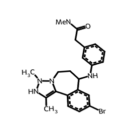 CNC(=O)Cc1cccc(NC2CCN3C(=C(C)NN3C)c3ccc(Br)cc32)c1